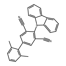 Cc1cccc(C)c1-c1cc(C#N)c(-n2c3ccccc3c3ccccc32)c(C#N)c1